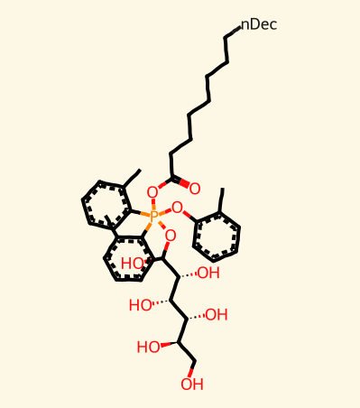 CCCCCCCCCCCCCCCCCC(=O)OP(Oc1ccccc1C)(OC(O)[C@H](O)[C@@H](O)[C@H](O)[C@H](O)CO)(c1ccccc1C)c1ccccc1C